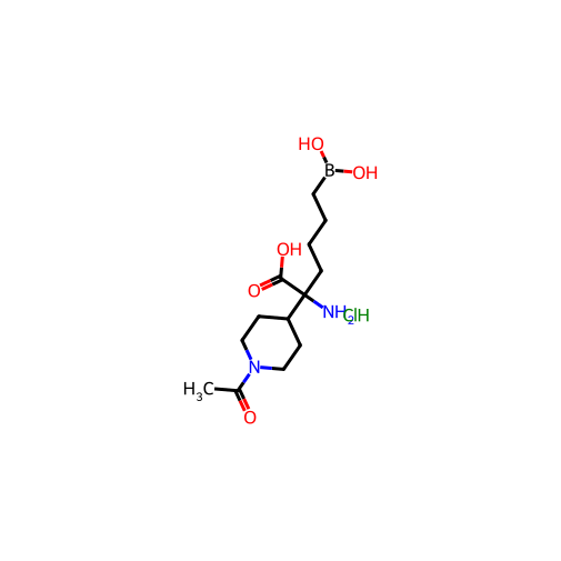 CC(=O)N1CCC(C(N)(CCCCB(O)O)C(=O)O)CC1.Cl